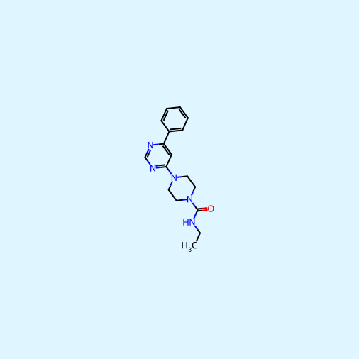 CCNC(=O)N1CCN(c2cc(-c3ccccc3)ncn2)CC1